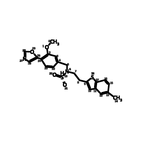 COc1cc(CN(CCc2cc3cc(C)ccc3s2)[SH](=O)=O)ccc1-c1cnco1